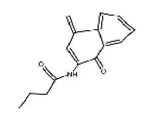 C=C1C=C(NC(=O)CCC)C(=O)c2ccccc21